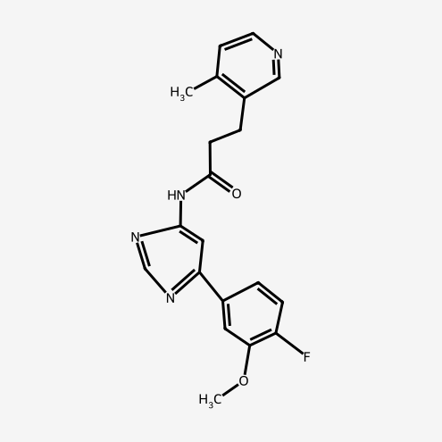 COc1cc(-c2cc(NC(=O)CCc3cnccc3C)ncn2)ccc1F